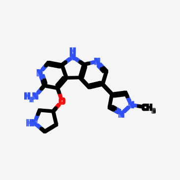 Cn1cc(-c2cnc3[nH]c4cnc(N)c(OC5CCNC5)c4c3c2)cn1